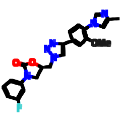 COc1cc(-c2cn(C[C@H]3CN(c4cccc(F)c4)C(=O)O3)nn2)ccc1-n1cnc(C)c1